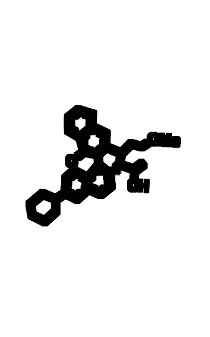 C=C(O)C1C(CCOC)c2cc3ccccc3c3c2-c2c4c(cc(C5CCCCC5)cc4cc[n+]21)O3